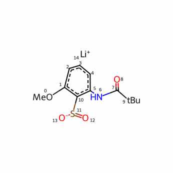 COc1cccc(NC(=O)C(C)(C)C)c1S(=O)[O-].[Li+]